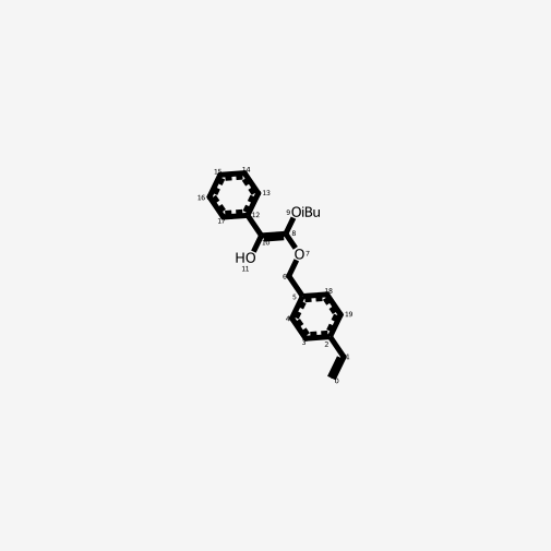 C=Cc1ccc(COC(OCC(C)C)=C(O)c2ccccc2)cc1